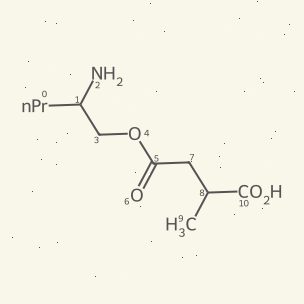 CCCC(N)COC(=O)CC(C)C(=O)O